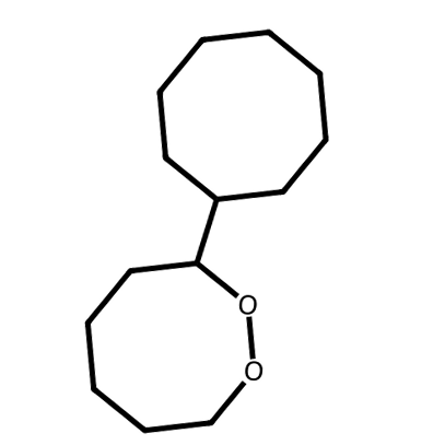 C1CCCC(C2CCCCCOO2)CCC1